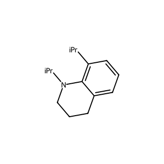 CC(C)c1cccc2c1N(C(C)C)CCC2